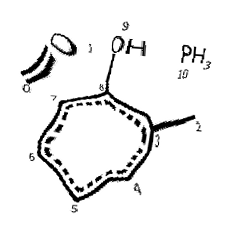 C=O.Cc1ccccc1O.P